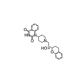 O=c1[nH]c(=O)n(C2CCN(C[C@@H](O)C3CCc4ccccc4O3)CC2)c2ccccc12